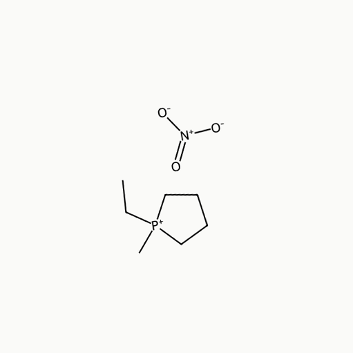 CC[P+]1(C)CCCC1.O=[N+]([O-])[O-]